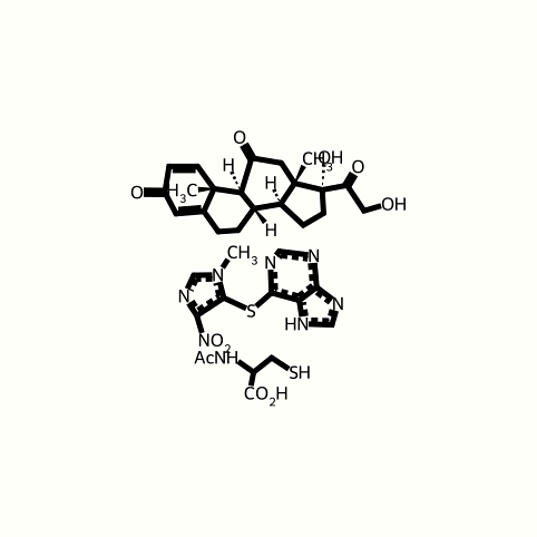 CC(=O)NC(CS)C(=O)O.C[C@]12C=CC(=O)C=C1CC[C@@H]1[C@@H]2C(=O)C[C@@]2(C)[C@H]1CC[C@]2(O)C(=O)CO.Cn1cnc([N+](=O)[O-])c1Sc1ncnc2nc[nH]c12